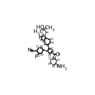 CC(C)(O)Cn1ncc2cc(-c3sc(C(=O)N4CCC[C@@H](N)C4)cc3-c3ccc(C#N)c(F)c3)ccc21